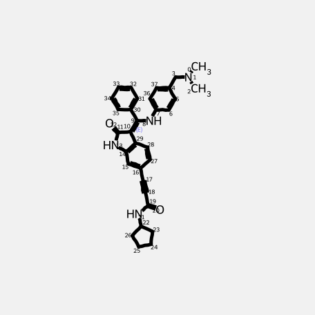 CN(C)Cc1ccc(N/C(=C2/C(=O)Nc3cc(C#CC(=O)NC4CCCC4)ccc32)c2ccccc2)cc1